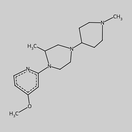 COc1ccnc(N2CCN(C3CCN(C)CC3)CC2C)c1